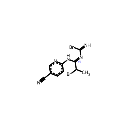 CC(Br)/C(=N/C(=N)Br)Nc1ccc(C#N)cn1